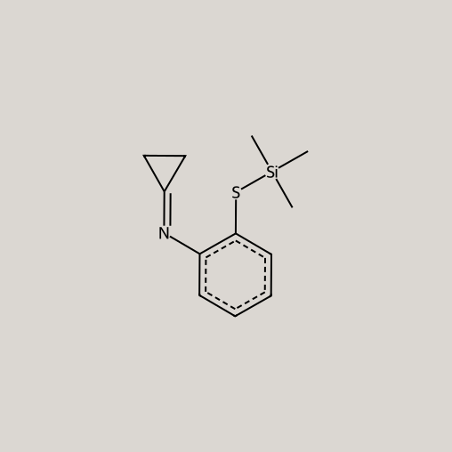 C[Si](C)(C)Sc1ccccc1N=C1CC1